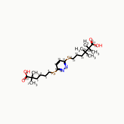 CC(C)(CCCCSc1ccc(SCCCC(C)(C)C(C)(C)C(=O)O)nn1)C(=O)O